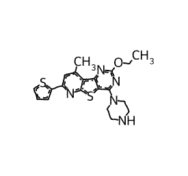 CCOc1nc(N2CCNCC2)c2sc3nc(-c4cccs4)cc(C)c3c2n1